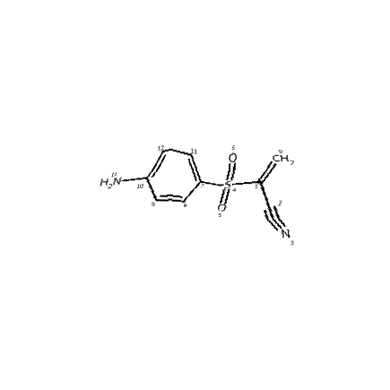 C=C(C#N)S(=O)(=O)c1ccc(N)cc1